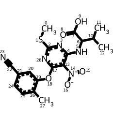 CSc1nc(NC(C(=O)O)C(C)C)c([N+](=O)[O-])c(Oc2cc(C#N)ccc2C)n1